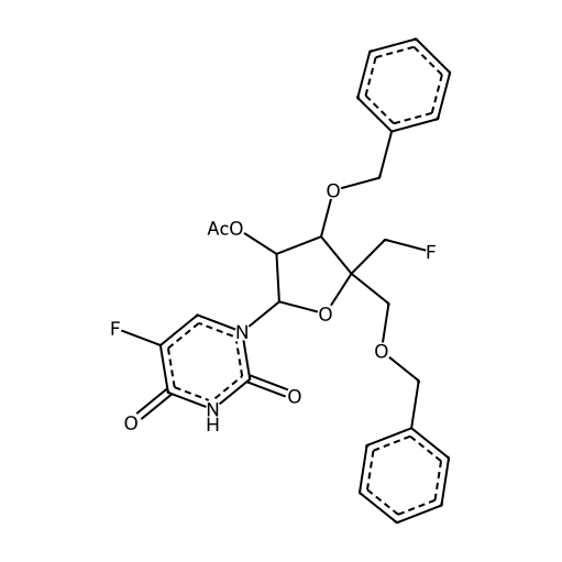 CC(=O)OC1C(n2cc(F)c(=O)[nH]c2=O)OC(CF)(COCc2ccccc2)C1OCc1ccccc1